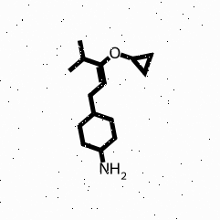 CC(C)/C(=C\CC1CCC(N)CC1)OC1CC1